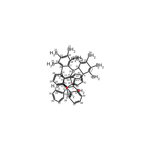 BC1=C(B)C2Oc3c(B)c(B)c(B)c(B)c3B(c3c(B)c(B)c(B)c(B)c3-c3cccc(S(c4ccccc4)(c4ccccc4)c4ccccc4)c3)C2C(B)=C1B